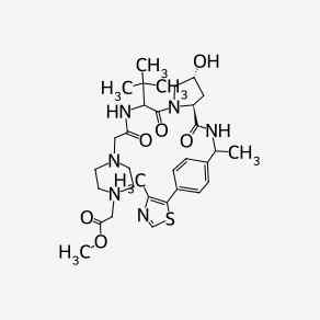 COC(=O)CN1CCN(CC(=O)NC(C(=O)N2C[C@H](O)C[C@H]2C(=O)NC(C)c2ccc(-c3scnc3C)cc2)C(C)(C)C)CC1